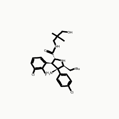 CC(C)(C)C[C@@H]1N[C@@H](C(=O)NCC(C)(C)CO)[C@H](c2cccc(Cl)c2F)[C@@]1(N)c1ccc(Cl)cc1